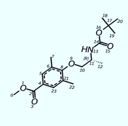 COC(=O)c1cc(C)c(OC[C@@H](C)NC(=O)OC(C)(C)C)c(C)c1